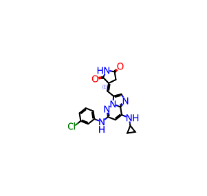 O=C1C/C(=C\c2cnc3c(NC4CC4)cc(Nc4cccc(Cl)c4)nn23)C(=O)N1